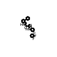 O=C(c1cc2c(-c3ccccc3)cccc2[nH]1)c1cnn2c1[nH]c1cc(Oc3cccc(F)c3F)ccc12